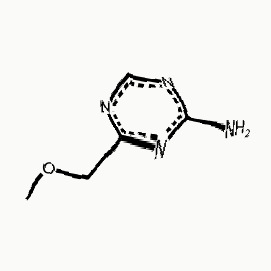 COCc1ncnc(N)n1